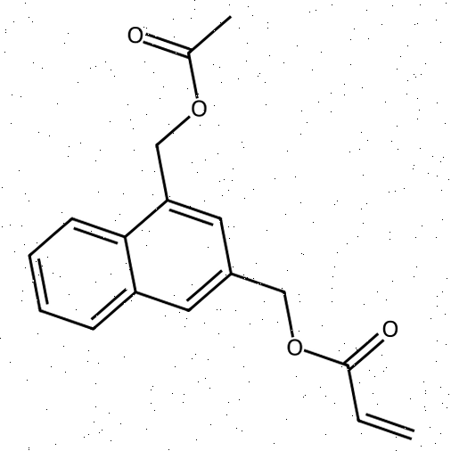 C=CC(=O)OCc1cc(COC(C)=O)c2ccccc2c1